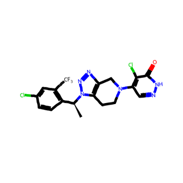 C[C@@H](c1ccc(Cl)cc1C(F)(F)F)n1nnc2c1CCN(c1cn[nH]c(=O)c1Cl)C2